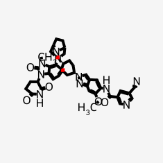 COc1cc2nn([C@H]3CC[C@H](CN4C5CCC4CN(c4cccc6c4n(C)c(=O)n6C4CCC(=O)NC4=O)C5)CC3)cc2cc1NC(=O)c1cncc(C#N)c1